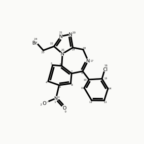 O=[N+]([O-])c1ccc2c(c1)C(c1ccccc1Cl)=NCc1nnc(CBr)n1-2